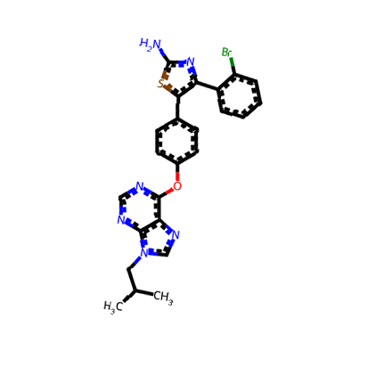 CC(C)Cn1cnc2c(Oc3ccc(-c4sc(N)nc4-c4ccccc4Br)cc3)ncnc21